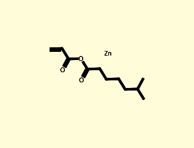 C=CC(=O)OC(=O)CCCCC(C)C.[Zn]